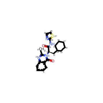 Cc1nc2ccccc2c(=O)n1[C@H](CC1CCCCC1)C(=O)Nc1nccs1